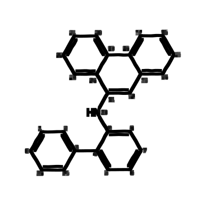 c1ccc(-c2ccccc2Nc2cc3ccccc3c3ccccc23)cc1